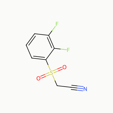 N#CCS(=O)(=O)c1cccc(F)c1F